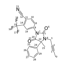 CC#CCN1C(=O)N(c2ccc(C#N)c(C(F)(F)F)c2)C(=O)C1(C)c1cc[c]cc1